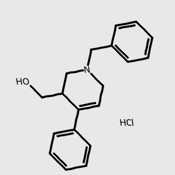 Cl.OCC1CN(Cc2ccccc2)CC=C1c1ccccc1